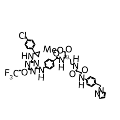 COC(=O)[C@H](CCNC(=O)C(=O)Nc1ccc(Cn2cccn2)cc1)NC(=O)c1ccc(Nc2nc(NC3(c4ccc(Cl)cc4)CC3)nc(OCC(F)(F)F)n2)cc1